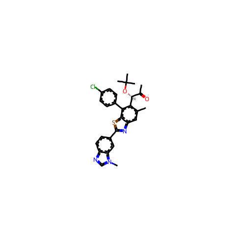 CC(=O)[C@@H](OC(C)(C)C)c1c(C)cc2nc(-c3ccc4ncn(C)c4c3)sc2c1-c1ccc(Cl)cc1